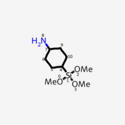 CO[Si](OC)(OC)C1CCC(N)CC1